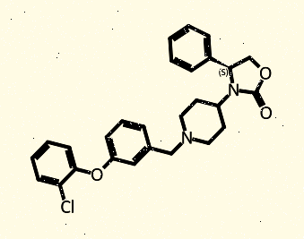 O=C1OC[C@H](c2ccccc2)N1C1CCN(Cc2cccc(Oc3ccccc3Cl)c2)CC1